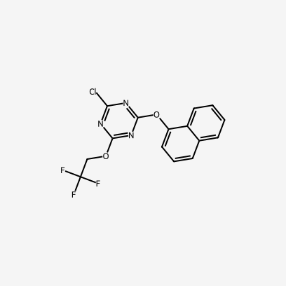 FC(F)(F)COc1nc(Cl)nc(Oc2cccc3ccccc23)n1